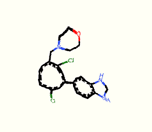 Clc1ccc(CN2CCOCC2)c(Cl)c1-c1ccc2c(c1)NCN2